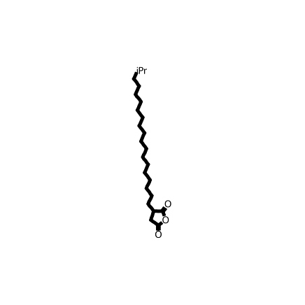 CC(C)CCCCCCCCCCCCCCCCCC1CC(=O)OC1=O